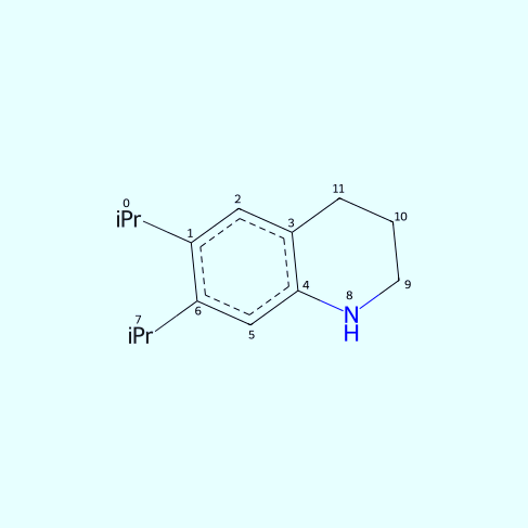 CC(C)c1cc2c(cc1C(C)C)NCCC2